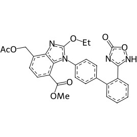 CCOc1nc2c(COC(C)=O)ccc(C(=O)OC)c2n1-c1ccc(-c2ccccc2-c2nc(=O)o[nH]2)cc1